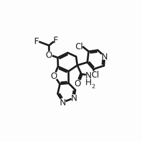 NC(=O)C1(c2c(Cl)cncc2Cl)CC=C(OC(F)F)c2oc3cnncc3c21